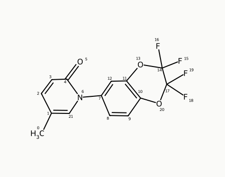 Cc1ccc(=O)n(-c2ccc3c(c2)OC(F)(F)C(F)(F)O3)c1